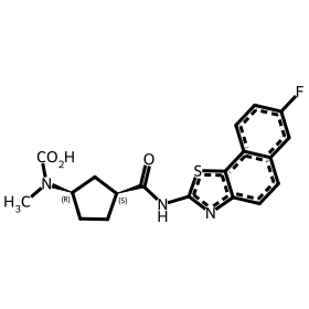 CN(C(=O)O)[C@@H]1CC[C@H](C(=O)Nc2nc3ccc4cc(F)ccc4c3s2)C1